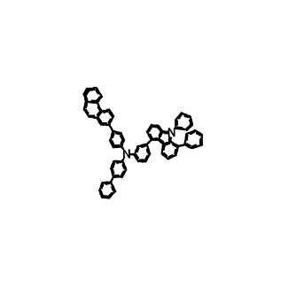 c1ccc2c(c#1)ccc1cc(-c3ccc(N(c4ccc(-c5ccccc5)cc4)c4cccc(-c5cccc6c5c5cccc(-c7ccccc7)c5n6-c5ccccc5)c4)cc3)ccc12